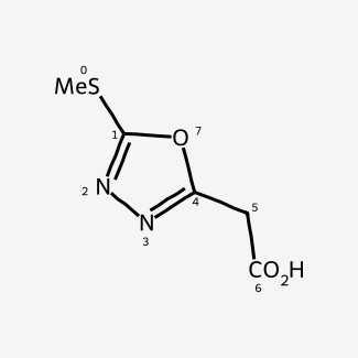 [CH2]Sc1nnc(CC(=O)O)o1